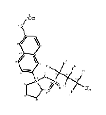 CCCCCCCCSc1ccc2cc(S3(OS(=O)(=O)C(F)(F)C(F)(F)C(F)(F)C(F)(F)F)CCCC3)ccc2c1